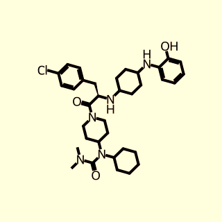 CN(C)C(=O)N(C1CCCCC1)C1CCN(C(=O)[C@@H](Cc2ccc(Cl)cc2)NC2CCC(Nc3ccccc3O)CC2)CC1